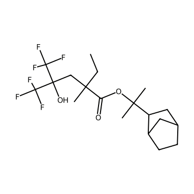 CCC(C)(CC(O)(C(F)(F)F)C(F)(F)F)C(=O)OC(C)(C)C1CC2CCC1C2